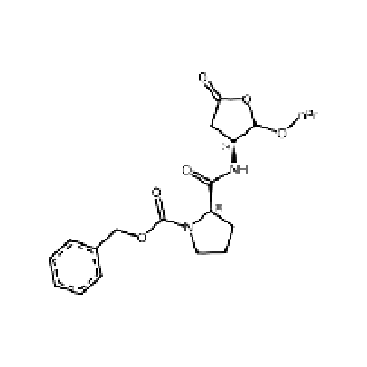 CCCOC1OC(=O)C[C@@H]1NC(=O)[C@H]1CCCN1C(=O)OCc1ccccc1